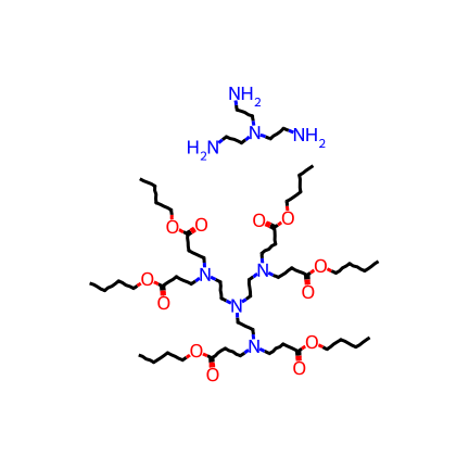 CCCCOC(=O)CCN(CCC(=O)OCCCC)CCN(CCN(CCC(=O)OCCCC)CCC(=O)OCCCC)CCN(CCC(=O)OCCCC)CCC(=O)OCCCC.NCCN(CCN)CCN